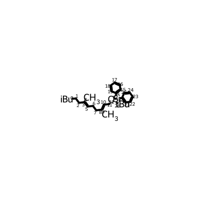 CCC(C)CC/C(C)=C/CC/C(C)=C/CO[Si](c1ccccc1)(c1ccccc1)C(C)(C)C